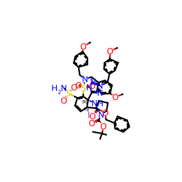 COc1ccc(CN(Cc2ccc(OC)cc2)S(=O)(=O)C2=C(S(N)(=O)=O)C=C[C@](I)(C3CCCN3C(=O)OC(C)(C)C)[C@@]2(NC(=O)OCc2ccccc2)c2nnn(Cc3ccc(OC)cc3)n2)cc1